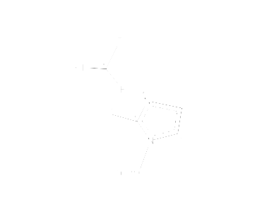 CCCCCCn1ccnc1C.FC(F)F